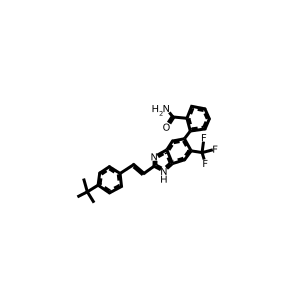 CC(C)(C)c1ccc(C=Cc2nc3cc(-c4ccccc4C(N)=O)c(C(F)(F)F)cc3[nH]2)cc1